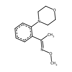 CO/N=C(\C)c1ccccc1N1CCOCC1